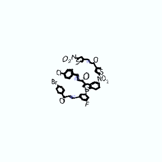 O=C(/C=C/c1cc(F)cc(F)c1)c1ccc(Br)cc1.O=C(/C=C/c1ccc(Cl)cc1)c1csc2ccccc12.O=C(/C=C/c1csc([N+](=O)[O-])c1)c1csc([N+](=O)[O-])c1